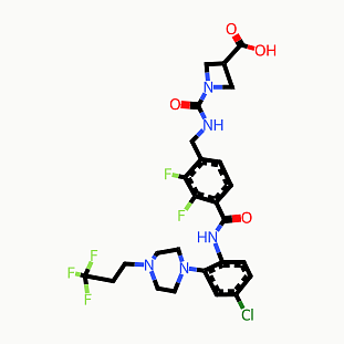 O=C(Nc1ccc(Cl)cc1N1CCN(CCC(F)(F)F)CC1)c1ccc(CNC(=O)N2CC(C(=O)O)C2)c(F)c1F